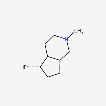 CC(C)C1CCC2CN(C)CCC21